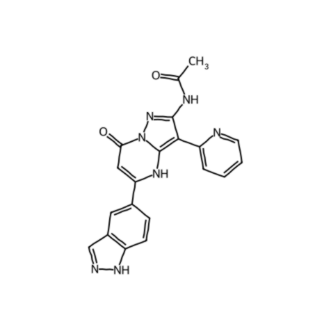 CC(=O)Nc1nn2c(=O)cc(-c3ccc4[nH]ncc4c3)[nH]c2c1-c1ccccn1